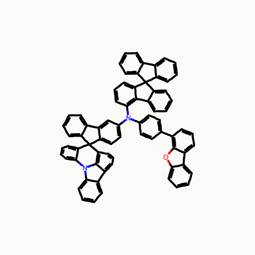 c1ccc2c(c1)-c1ccccc1C21c2ccccc2-c2c(N(c3ccc(-c4cccc5c4oc4ccccc45)cc3)c3ccc4c(c3)-c3ccccc3C43c4ccccc4-n4c5ccccc5c5cccc3c54)cccc21